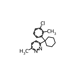 Cc1ccc(C2(c3cccc(Cl)c3C)CCCCC2)nn1